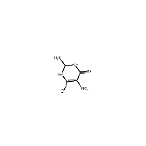 NC1NC(=O)C([N+](=O)[O-])=C(Cl)N1